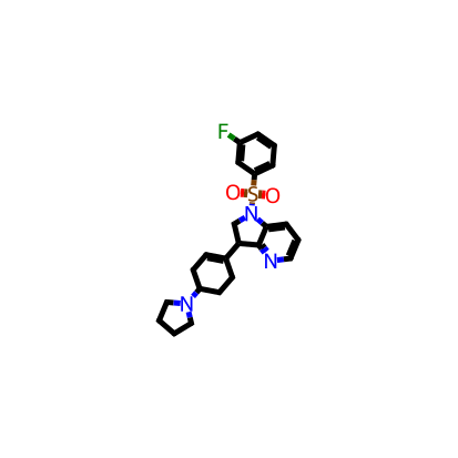 O=S(=O)(c1cccc(F)c1)N1CC(C2=CCC(N3CCCC3)CC2)c2ncccc21